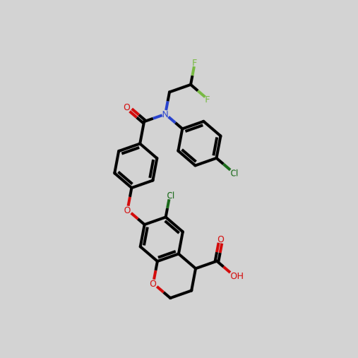 O=C(O)C1CCOc2cc(Oc3ccc(C(=O)N(CC(F)F)c4ccc(Cl)cc4)cc3)c(Cl)cc21